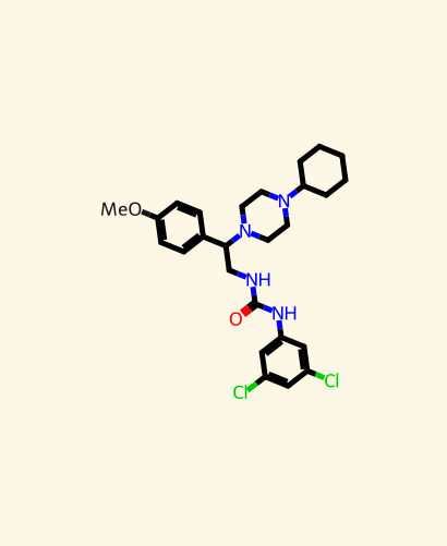 COc1ccc(C(CNC(=O)Nc2cc(Cl)cc(Cl)c2)N2CCN(C3CCCCC3)CC2)cc1